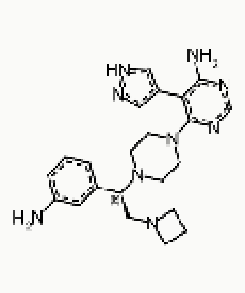 Nc1cccc([C@H](CN2CCC2)N2CCN(c3ncnc(N)c3-c3cn[nH]c3)CC2)c1